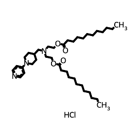 CCCCCCCCCCCC(=O)OCCN(CCOC(=O)CCCCCCCCCCC)CC1CCN(c2ccncc2)CC1.Cl